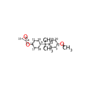 COc1ccc(C(C)(C)c2ccc(OC3CO3)cc2)cc1